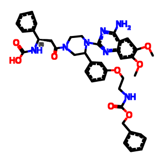 COc1cc2nc(N3CCN(C(=O)C[C@@H](NC(=O)O)c4ccccc4)CC3c3cccc(OCCNC(=O)OCc4ccccc4)c3)nc(N)c2cc1OC